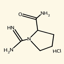 Cl.N=C(N)N1CCCC1C(N)=O